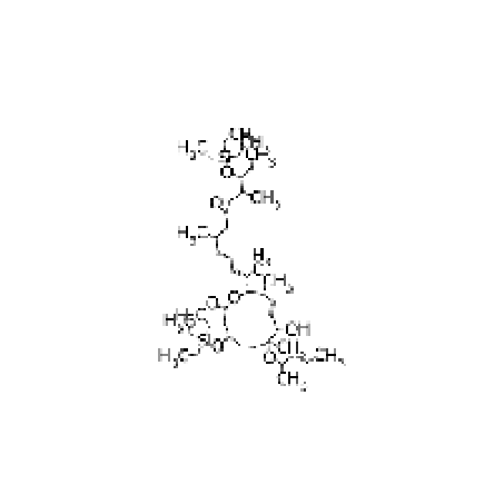 CCCC(C)O[C@]1(C)CC[C@@H](O[Si](CC)(CC)CC)CC(=O)O[C@H](/C(C)=C/C=C/[C@@H](C)C[C@H]2O[C@@H]2[C@H](C)[C@H](CC)O[Si](CC)(CC)CC)[C@@H](C)/C=C/[C@@H]1O